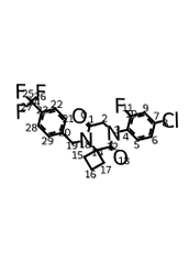 O=C1CN(c2ccc(Cl)cc2F)C(=O)C2(CCC2)N1Cc1ccc(C(F)(F)F)cc1